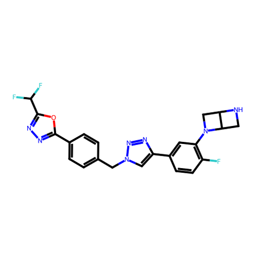 Fc1ccc(-c2cn(Cc3ccc(-c4nnc(C(F)F)o4)cc3)nn2)cc1N1CC2NCC21